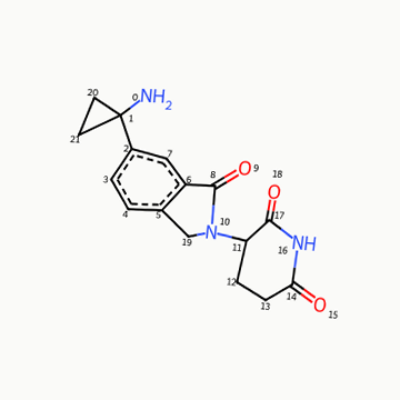 NC1(c2ccc3c(c2)C(=O)N(C2CCC(=O)NC2=O)C3)CC1